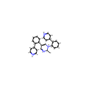 CC1N=CC(c2ccccc2-c2ccncc2)=CN1c1ccccc1-c1ccncc1